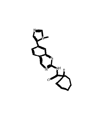 Cn1cncc1-c1ccc2cnc(NC(=O)C3(F)CCCCC3)nc2c1